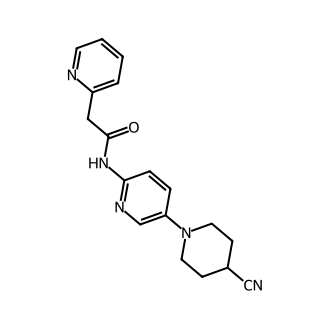 N#CC1CCN(c2ccc(NC(=O)Cc3ccccn3)nc2)CC1